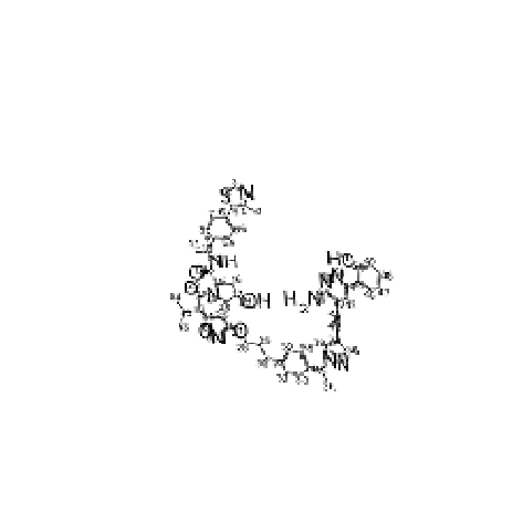 Cc1ncsc1-c1ccc([C@H](C)NC(=O)[C@@H]2C[C@@H](O)CN2C(=O)[C@@H](c2cc(OCCCc3ccc(C(C)n4cc(C#Cc5cc(-c6ccccc6O)nnc5N)cn4)cc3)no2)C(C)C)cc1